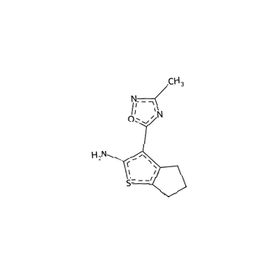 Cc1noc(-c2c(N)sc3c2CCC3)n1